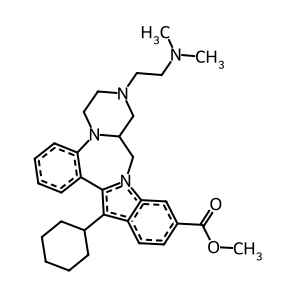 COC(=O)c1ccc2c(C3CCCCC3)c3n(c2c1)CC1CN(CCN(C)C)CCN1c1ccccc1-3